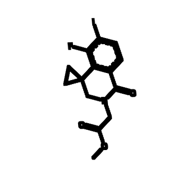 COC(=O)CN1CC2(CC2)c2c(ccc(I)c2F)C1=O